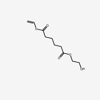 C=COC(=O)CCCCC(=O)OCCO